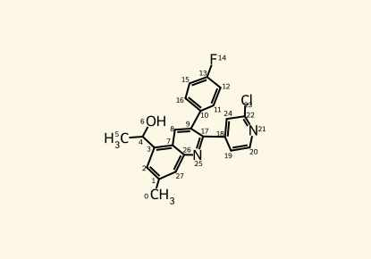 Cc1cc(C(C)O)c2cc(-c3ccc(F)cc3)c(-c3ccnc(Cl)c3)nc2c1